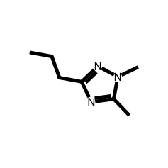 CCCc1nc(C)n(C)n1